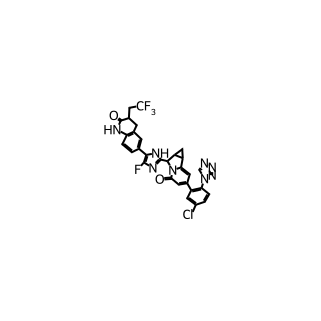 O=C1Nc2ccc(-c3[nH]c(C4C5CC5c5cc(-c6cc(Cl)ccc6-n6cnnn6)cc(=O)n54)nc3F)cc2CC1CC(F)(F)F